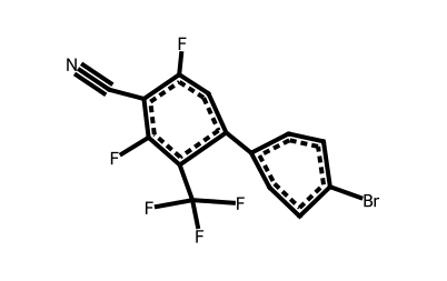 N#Cc1c(F)cc(-c2ccc(Br)cc2)c(C(F)(F)F)c1F